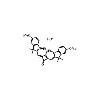 CCN1/C(=C\C2=C(O)C(=C\C3=[N+](CC)c4ccc(OC)cc4C3(C)C)/C2=O)C(C)(C)c2cc(OC)ccc21.[OH-]